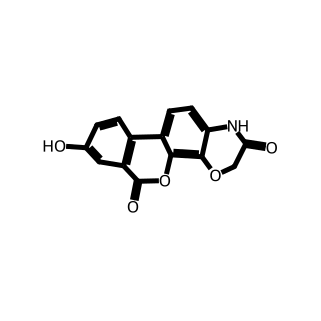 O=C1COc2c(ccc3c2oc(=O)c2cc(O)ccc23)N1